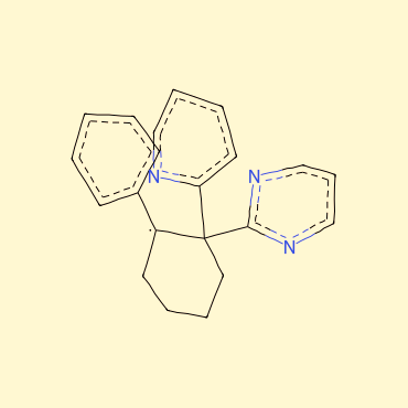 c1ccc([C]2CCCCC2(c2ccccn2)c2ncccn2)cc1